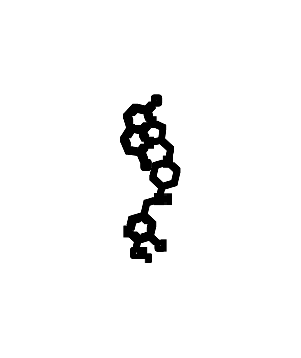 Cc1ncc(CNC2CCN(CC3Cn4c(=O)ccc5ccc(=O)n3c54)CC2)cc1Cl